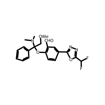 COCC(Oc1ccc(-c2nnc(C(F)F)o2)cc1C=O)(c1ccccc1)N(C)C